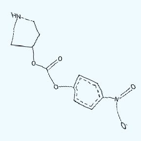 O=C(Oc1ccc([N+](=O)[O-])cc1)OC1CCNCC1